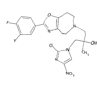 CC(O)(CN1CCc2oc(-c3ccc(F)c(F)c3)nc2C1)Cn1cc([N+](=O)[O-])nc1Cl